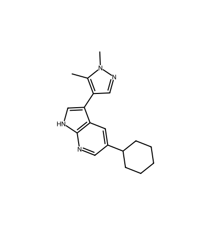 Cc1c(-c2c[nH]c3ncc(C4CCCCC4)cc23)cnn1C